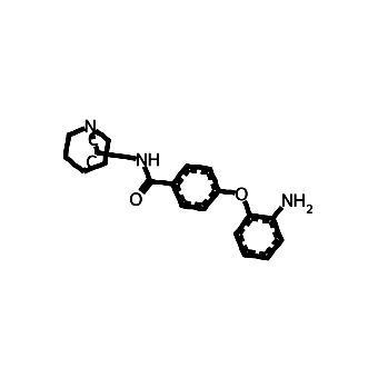 Nc1ccccc1Oc1ccc(C(=O)NC2CC3CCN(CC3)C2)cc1